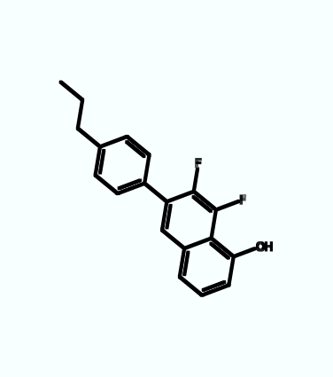 CCCc1ccc(-c2cc3cccc(O)c3c(F)c2F)cc1